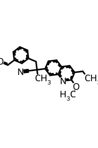 CCc1cc2ccc(C(C)(C#N)Cc3cccc(C=O)c3)cc2nc1OC